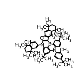 Cc1cc(C(C)(C)C)ccc1N1c2ccc(C(C)(C)C)cc2B2c3c1cc(C(C)(C)C)cc3N(c1ccc3c(c1)C(C)(C)CCC3(C)C)c1oc3cc4c(cc3c12)C(C)(C)CCC4(C)C